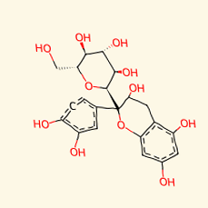 OC[C@H]1O[C@H](C2(c3ccc(O)c(O)c3)Oc3cc(O)cc(O)c3CC2O)[C@H](O)[C@@H](O)[C@@H]1O